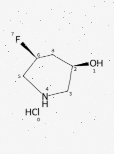 Cl.O[C@H]1CNC[C@@H](F)C1